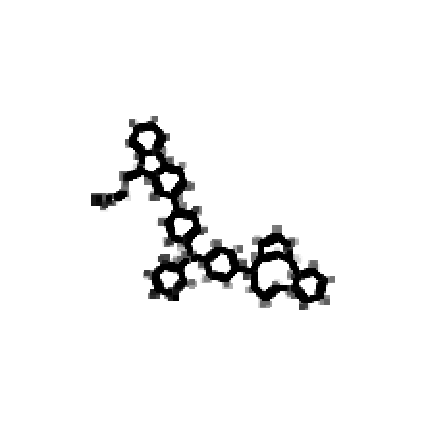 C=C/C=C1/c2ccccc2-c2ccc(-c3ccc(N(c4ccc(/C5=C/C=C/c6ccccc6-c6cccc5c6)cc4)c4cccnc4)cc3)cc21